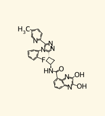 Cc1ccc(-c2nnc([C@H]3C[C@H](NC(=O)c4cccc5nc(O)c(O)nc45)C3)n2-c2ccccc2F)nc1